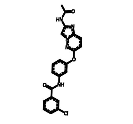 CC(=O)Nc1cn2nc(Oc3cccc(NC(=O)c4cccc(Cl)c4)c3)ccc2n1